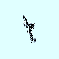 COc1cc(C)ccc1S(=O)(=O)N1Cc2cc3c(cc2C[C@H]1C(=O)NC(Cc1ccc(-c2ccc(C#N)cc2)cc1)C(=O)O)OC[C@H](c1ccc(OCc2ccc(Cl)c(Cl)c2)cc1)O3